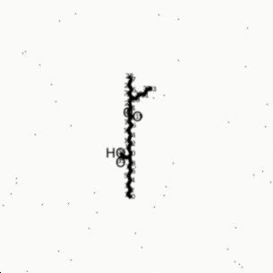 CCCCCCCCCC(CCCCCCCCC(=O)OCCC(CCCCC)CCCCC)C(=O)O